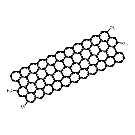 Cc1cc2cc3cc4cc5cc6cc7cc8cc9cc%10cc%11cccc%12c%13c(C)cc%14c(C)cc%15cc%16cc%17cc%18cc%19cc%20cc%21cc%22cc%23cc%24cccc%25c%26c(C)cc1c1c2c2c3c3c4c4c5c5c6c6c7c7c8c8c9c9c%10c(c%11%12)c%10c%13c%14c%15c%11c%16c%12c%17c%13c%18c%14c%19c%15c%20c%16c%21c%17c%22c%18c%23c(c%24%25)c(c%261)c2c%18c3c%17c4c%16c5c%15c6c%14c7c%13c8c%12c9c%11%10